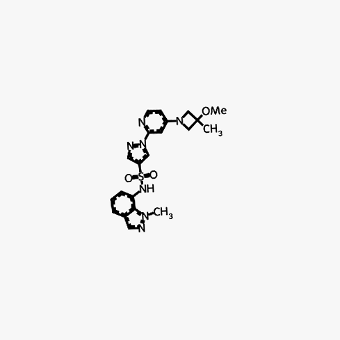 COC1(C)CN(c2ccnc(-n3cc(S(=O)(=O)Nc4cccc5cnn(C)c45)cn3)c2)C1